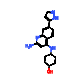 Nc1cc(N[C@H]2CC[C@H](O)CC2)c2ccc(-c3ccn[nH]3)cc2n1